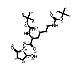 CC(C)(C)OC(=O)NCCCCC(NC(=O)OC(C)(C)C)C(=O)ON1C(=O)CCC1O